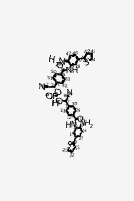 N#CC(O[PH](=O)OC(C#N)c1ccc(C(=O)Nc2cc(-c3cccs3)ccc2N)cc1)c1ccc(C(=O)Nc2cc(-c3cccs3)ccc2N)cc1